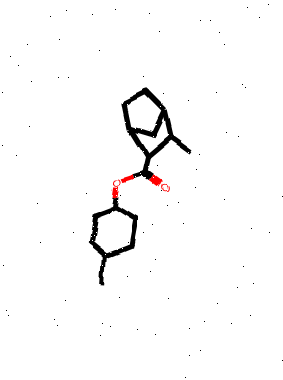 CC1CCC(OC(=O)C2C3CCC(C3)C2C)CC1